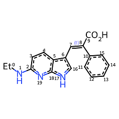 CCNc1ccc2c(/C=C(/C(=O)O)c3ccccc3)c[nH]c2n1